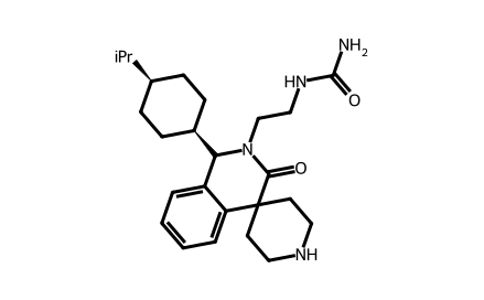 CC(C)[C@H]1CC[C@@H](C2c3ccccc3C3(CCNCC3)C(=O)N2CCNC(N)=O)CC1